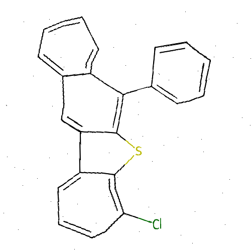 Clc1cccc2c1sc1c(-c3ccccc3)c3ccccc3cc12